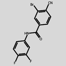 N#Cc1ccc(C(=O)Nc2ccc(F)c(F)c2)cc1Br